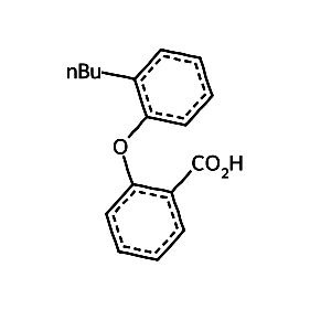 CCCCc1ccccc1Oc1ccccc1C(=O)O